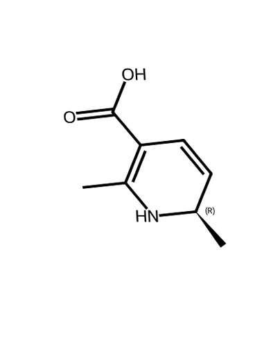 CC1=C(C(=O)O)C=C[C@@H](C)N1